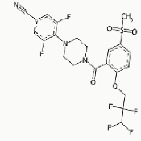 CS(=O)(=O)c1ccc(OCC(F)(F)C(F)F)c(C(=O)N2CCN(c3c(F)cc(C#N)cc3F)CC2)c1